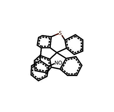 O=[N+]([O-])c1ccccc1-c1cccc2c1C1(c3ccccc3S2)c2ccccc2-c2ccccc21